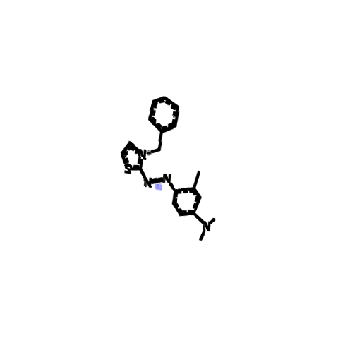 Cc1cc(N(C)C)ccc1/N=N/c1scc[n+]1Cc1ccccc1